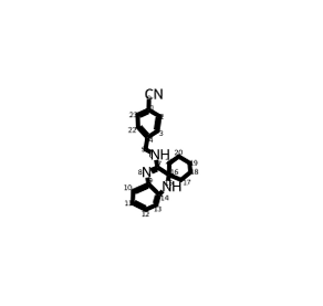 N#Cc1ccc(CNC2=Nc3ccccc3NC23CCCCC3)cc1